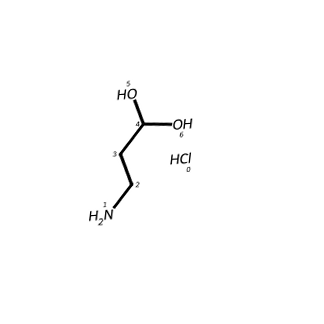 Cl.NCCC(O)O